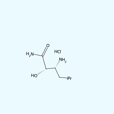 CC(C)C[C@@H](N)[C@H](O)C(N)=O.Cl